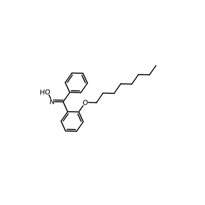 CCCCCCCCOc1ccccc1C(=NO)c1ccccc1